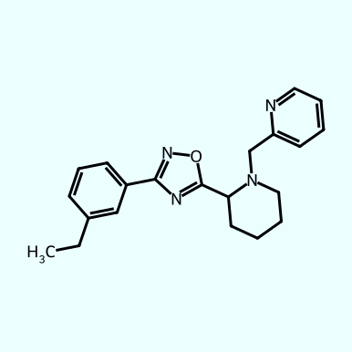 CCc1cccc(-c2noc(C3CCCCN3Cc3ccccn3)n2)c1